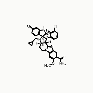 COc1cc2c(cc1C(N)=O)nc1n2CC[C@H]2[C@@H]1[C@H](c1cccc(Cl)c1F)[C@]1(C(=O)Nc3cc(Cl)ccc31)N2CC1CC1